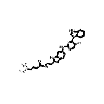 CN(C)C/C=C/C(=O)NCCc1cc2ccc(Nc3ncc(Cl)c(-c4c[nH]c5ccccc45)n3)cc2[nH]1